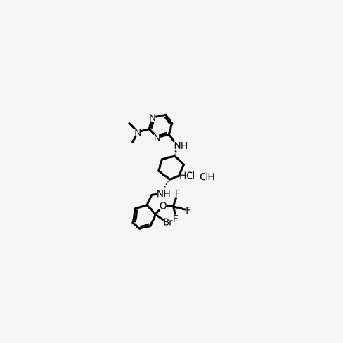 CN(C)c1nccc(N[C@H]2CC[C@@H](NCC3C=CC=CC3(Br)OC(F)(F)F)CC2)n1.Cl.Cl